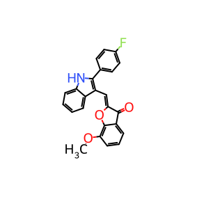 COc1cccc2c1OC(=Cc1c(-c3ccc(F)cc3)[nH]c3ccccc13)C2=O